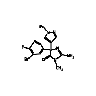 CC(C)n1cc(C2(c3ccc(F)c(Br)c3)N=C(N)N(C)C2=O)cn1